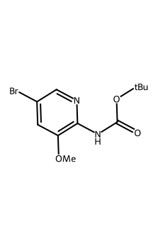 COc1cc(Br)cnc1NC(=O)OC(C)(C)C